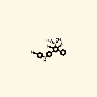 CCN(CC)c1c(C#N)c(-c2ccccc2)cc(-c2ccc(Nc3ccc(C#N)cc3)cc2)c1C#N